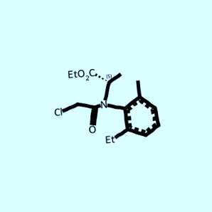 CCOC(=O)[C@H](C)N(C(=O)CCl)c1c(C)cccc1CC